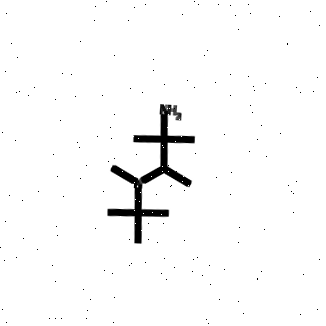 CC(N(C)C(C)(C)C)C(C)(C)N